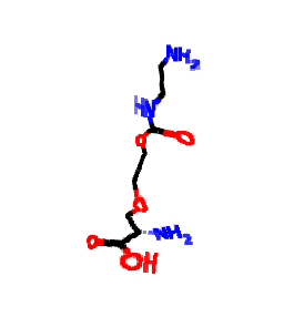 NCCNC(=O)OCCOC[C@H](N)C(=O)O